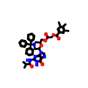 Cc1cc(C(=O)OCC(=O)OCC2CN(C(c3ccccc3)(c3ccccc3)c3ccccc3)CC(n3cnc4c(=O)[nH]c(NC(=O)C(C)C)nc43)O2)cc(C)c1C